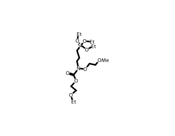 CCOCCOC(=O)N(CCC[Si](OCC)(OCC)OCC)OCCOC